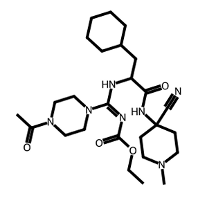 CCOC(=O)/N=C(/NC(CC1CCCCC1)C(=O)NC1(C#N)CCN(C)CC1)N1CCN(C(C)=O)CC1